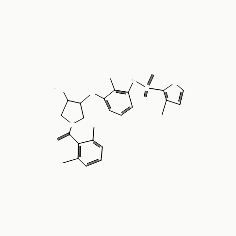 COC1CN(C(=O)c2c(C)cccc2C)CC1Oc1cccc(NS(=O)(=O)c2sccc2Cl)c1F